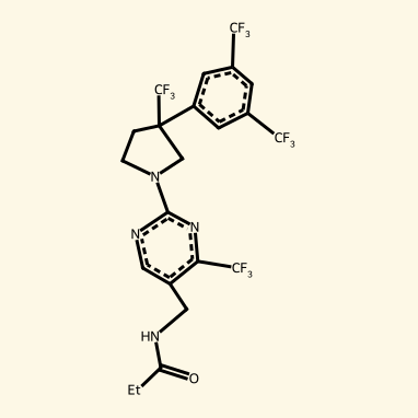 CCC(=O)NCc1cnc(N2CCC(c3cc(C(F)(F)F)cc(C(F)(F)F)c3)(C(F)(F)F)C2)nc1C(F)(F)F